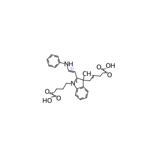 CC1(CCCS(=O)(=O)O)C(/C=C/Nc2ccccc2)=[N+](CCCS(=O)(=O)O)c2ccccc21